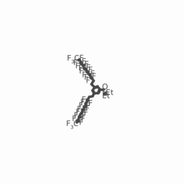 CCN(CC)C(=O)c1cc(CCC(F)(F)C(F)(F)C(F)(F)C(F)(F)C(F)(F)C(F)(F)C(F)(F)C(F)(F)F)cc(CCC(F)(F)C(F)(F)C(F)(F)C(F)(F)C(F)(F)C(F)(F)C(F)(F)C(F)(F)F)c1